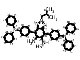 CC(C)Cn1nc2c(-c3ccc(N(c4ccccc4)c4ccccc4)cc3)c(N)c(NS)c(-c3ccc(N(c4ccccc4)c4ccccc4)cc3)c2n1